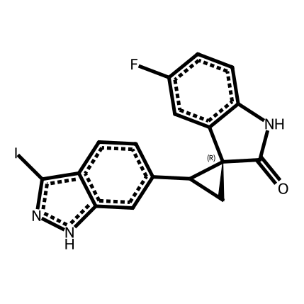 O=C1Nc2ccc(F)cc2[C@]12CC2c1ccc2c(I)n[nH]c2c1